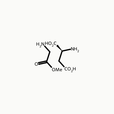 COC(=O)CN.N[C@@H](CC(=O)O)C(=O)O